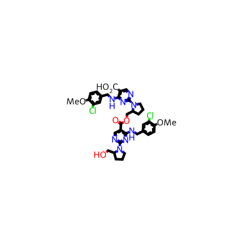 COc1ccc(CNc2nc(N3CCCC3COC(=O)c3cnc(N4CCCC4CO)nc3NCc3ccc(OC)c(Cl)c3)ncc2C(=O)O)cc1Cl